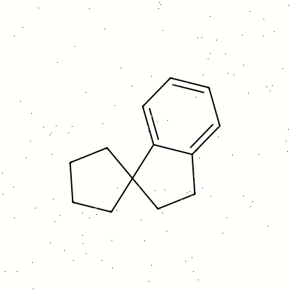 c1ccc2c(c1)CCC21CCCC1